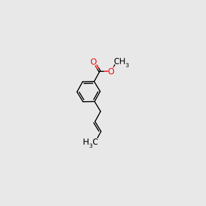 CC=CCc1cccc(C(=O)OC)c1